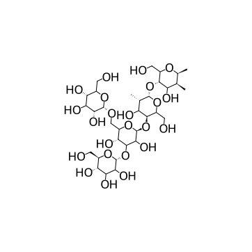 C[C@@H]1OC(CO)[C@@H](O[C@@H]2OC(CO)[C@@H](O[C@@H]3OC(CO[C@H]4OC(CO)[C@@H](O)C(O)[C@H]4O)[C@@H](O)C(O[C@H]4O[C@H](CO)[C@@H](O)C(O)C4O)C3O)C(O)[C@@H]2C)C(O)[C@@H]1C